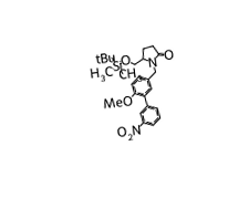 COc1ccc(CN2C(=O)CCC2CO[Si](C)(C)C(C)(C)C)cc1-c1cccc([N+](=O)[O-])c1